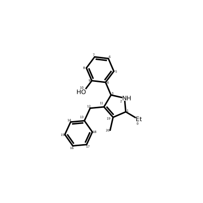 CCC1NC(c2ccccc2O)C(Cc2ccccc2)=C1C